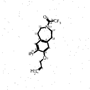 C=CCOc1cc2c(cc1C(C)C)CCN(C(=O)C(F)(F)F)CC2